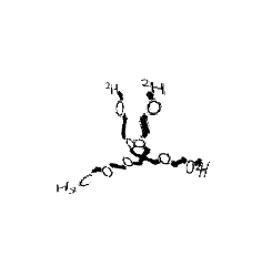 [2H]COCCOCC(COCCOC[2H])(COCCOC[2H])COCCOCC